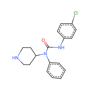 O=C(Nc1ccc(Cl)cc1)N(c1ccccc1)C1CCNCC1